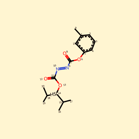 Cc1cccc(OC(=O)N=NC(=O)O[SiH](C(C)C)C(C)C)c1